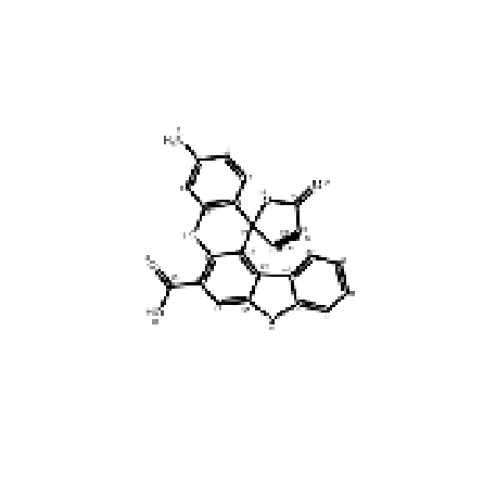 Cc1ccc2c(c1)Oc1c(C(=O)O)cc3sc4ccccc4c3c1C21OC(=O)c2ccccc21